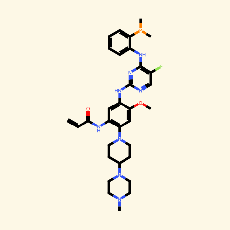 C=CC(=O)Nc1cc(Nc2ncc(F)c(Nc3ccccc3P(C)C)n2)c(OC)cc1N1CCC(N2CCN(C)CC2)CC1